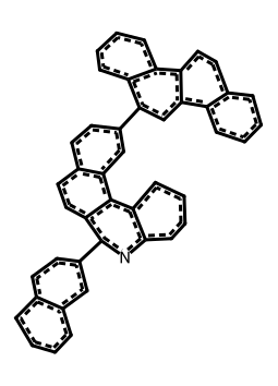 c1ccc2cc(-c3nc4ccccc4c4c3ccc3ccc(-c5cc6c7ccccc7ccc6c6ccccc56)cc34)ccc2c1